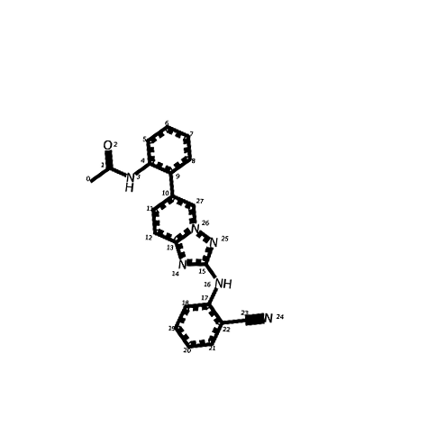 CC(=O)Nc1ccccc1-c1ccc2nc(Nc3ccccc3C#N)nn2c1